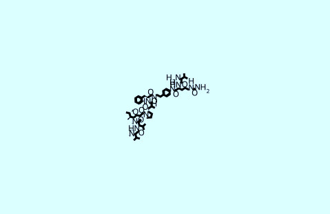 CC[C@H](C)C(C(CC(=O)N1CCC[C@H]1C(OC)C(C)C(=O)N[C@@H](Cc1ccccc1)C(=O)NCCc1ccc(NC(=O)C(CCCNC(N)=O)NC(=O)[C@H](N)C(C)C)cc1)OC)N(C)C(=O)[C@@H](NC(=O)C(C(C)C)N(C)C)C(C)C